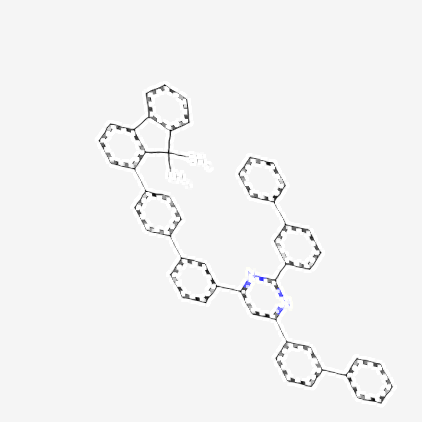 CC1(C)c2ccccc2-c2cccc(-c3ccc(-c4cccc(-c5cc(-c6cccc(-c7ccccc7)c6)nc(-c6cccc(-c7ccccc7)c6)n5)c4)cc3)c21